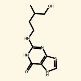 CC(CO)CCNc1nc2nc[nH]c2c(=O)[nH]1